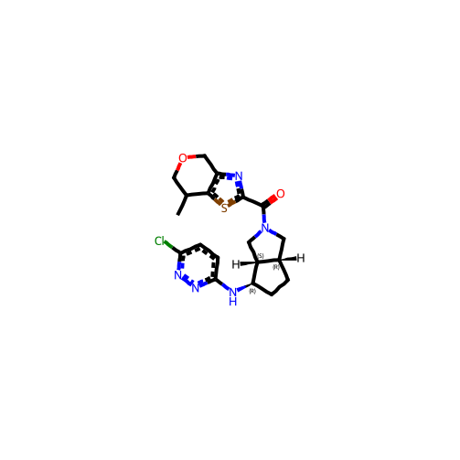 CC1COCc2nc(C(=O)N3C[C@@H]4CC[C@@H](Nc5ccc(Cl)nn5)[C@@H]4C3)sc21